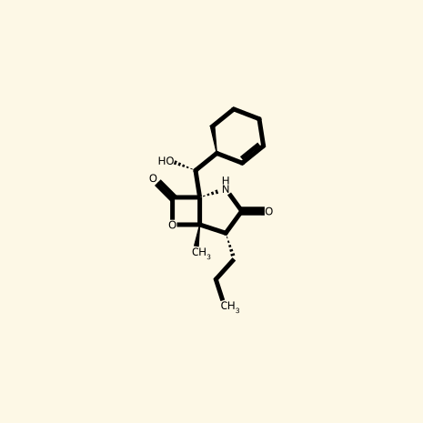 CCC[C@H]1C(=O)N[C@@]2([C@H](O)[C@@H]3C=CCCC3)C(=O)O[C@@]12C